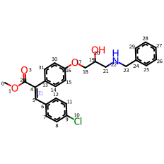 COC(=O)/C(=C/c1ccc(Cl)cc1)c1ccc(OCC(O)CNCc2ccccc2)cc1